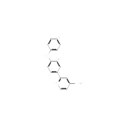 O=Cc1ccnc(-c2ccc(Oc3ccccc3)cc2)c1